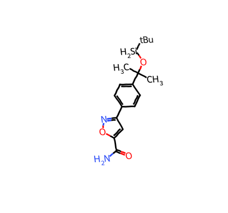 CC(C)(C)[SiH2]OC(C)(C)c1ccc(-c2cc(C(N)=O)on2)cc1